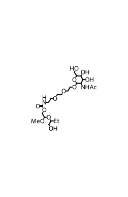 CCC(CO)OC(COC(=O)NCCOCCOCCOC1OC(CO)C(O)C(O)C1NC(C)=O)OC